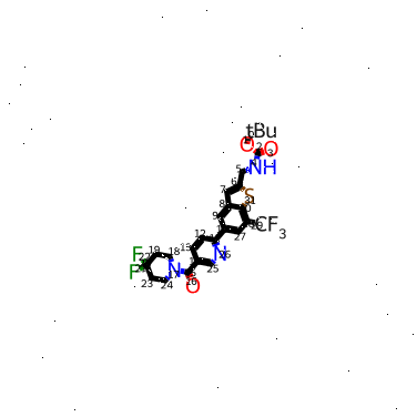 CC(C)(C)OC(=O)NCc1cc2cc(-c3ccc(C(=O)N4CCC(F)(F)CC4)cn3)cc(C(F)(F)F)c2s1